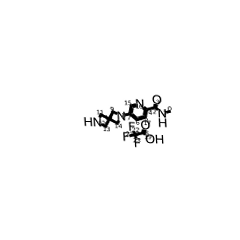 CNC(=O)c1ccc(N2CC3(CNC3)C2)cn1.O=C(O)C(F)(F)F